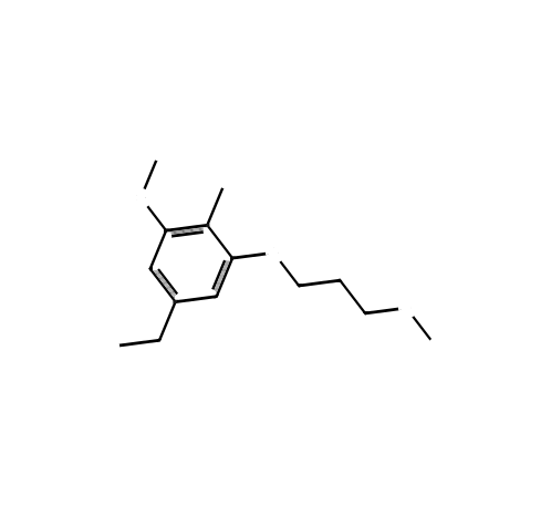 CCc1cc(OC)c(C)c(OCCCOC)c1